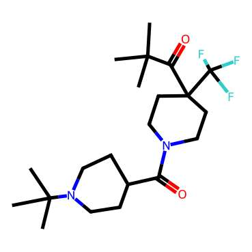 CC(C)(C)C(=O)C1(C(F)(F)F)CCN(C(=O)C2CCN(C(C)(C)C)CC2)CC1